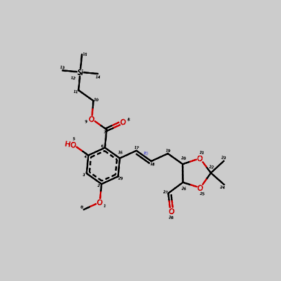 COc1cc(O)c(C(=O)OCC[Si](C)(C)C)c(/C=C/CC2OC(C)(C)OC2C=O)c1